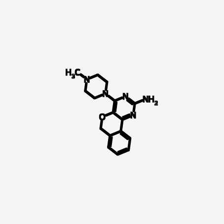 CN1CCN(c2nc(N)nc3c2OCc2ccccc2-3)CC1